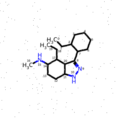 CCC1CCCCC1C1=NNC2CCC(NC)C(CC)C12